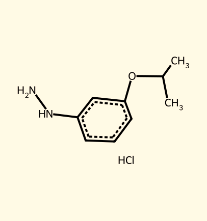 CC(C)Oc1cccc(NN)c1.Cl